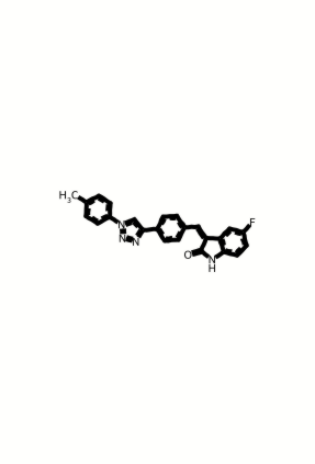 Cc1ccc(-n2cc(-c3ccc(C=C4C(=O)Nc5ccc(F)cc54)cc3)nn2)cc1